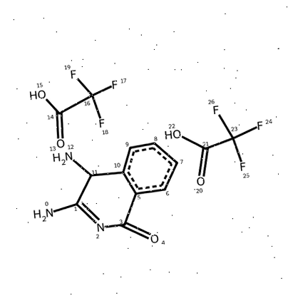 NC1=NC(=O)c2ccccc2C1N.O=C(O)C(F)(F)F.O=C(O)C(F)(F)F